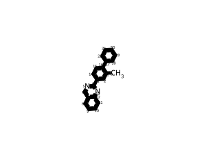 Cc1cc(-c2ncc3ccccc3n2)ccc1-c1ccccc1